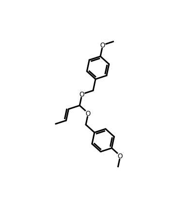 CC=CC(OCc1ccc(OC)cc1)OCc1ccc(OC)cc1